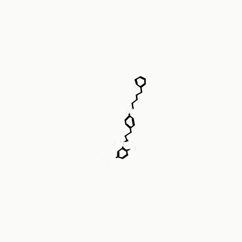 O=C(CCc1ccc(OCCCCCc2ccccc2)cc1)Nc1cc(C(=O)O)ccc1Cl